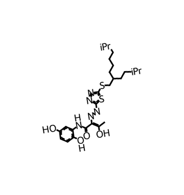 C/C(O)=C(\N=Nc1nnc(SCC(CCCCC(C)C)CCC(C)C)s1)C(=O)Nc1cc(O)ccc1O